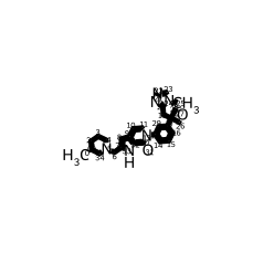 C[C@H]1CCCN(Cc2cc3ccn(-c4cccc(C5(Cc6nncn6C)COC5)c4)c(=O)c3[nH]2)C1